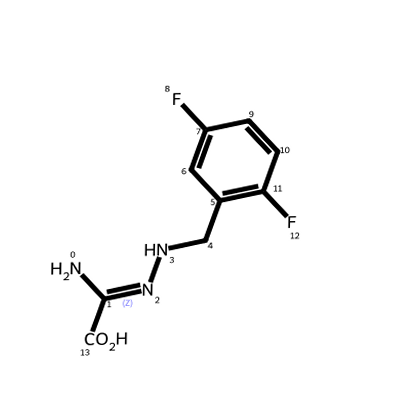 N/C(=N\NCc1cc(F)ccc1F)C(=O)O